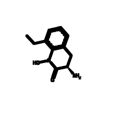 CCc1cccc2c1N(O)C(=O)[C@@H](N)C2